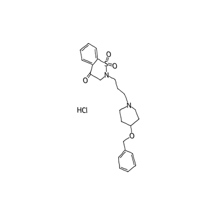 Cl.O=C1CN(CCCN2CCC(OCc3ccccc3)CC2)S(=O)(=O)c2ccccc21